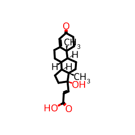 C[C@]12CCC(=O)C=C1CC[C@@H]1[C@@H]2CC[C@@]2(C)[C@H]1CC[C@@]2(O)C=CC(=O)O